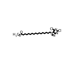 COC(=O)CCCCCCCCCCCCCCCCn1cnc2nc(Cl)nc(Cl)c21